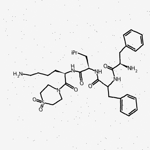 CC(C)C[C@@H](NC(=O)C(Cc1ccccc1)NC(=O)[C@H](N)Cc1ccccc1)C(=O)N[C@H](CCCCN)C(=O)N1CCS(=O)(=O)CC1